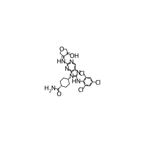 NC(=O)[C@H]1CC[C@@H](n2c(Nc3c(Cl)cc(Cl)cc3Cl)nc3cnc(N[C@H]4COC[C@@H]4O)nc32)CC1